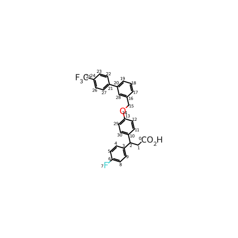 O=C(O)CC(c1ccc(F)cc1)c1ccc(OCc2cccc(-c3ccc(C(F)(F)F)cc3)c2)cc1